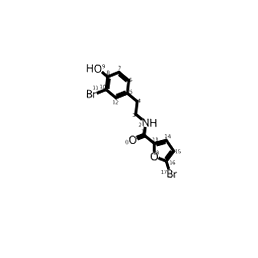 O=C(NCCc1ccc(O)c(Br)c1)c1ccc(Br)o1